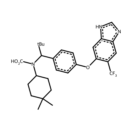 CC1(C)CCC(N(C(=O)O)C(c2ccc(Oc3cc4[nH]cnc4cc3C(F)(F)F)cc2)C(C)(C)C)CC1